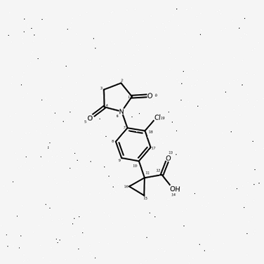 O=C1CCC(=O)N1c1ccc(C2(C(=O)O)CC2)cc1Cl